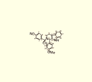 C=C(c1ccc(C#N)cc1)N1CCc2c([nH]c3ccccc23)C1c1ccc(OC)cc1